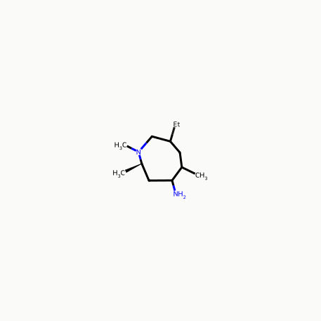 CCC1CC(C)C(N)C[C@@H](C)N(C)C1